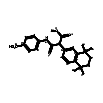 COC(=O)C(C(=O)Nc1ccc(C(=O)O)cc1)c1ccc2c(c1)C(C)(C)CCC2(C)C